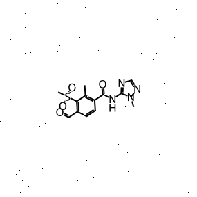 Cc1c(C(=O)Nc2ncnn2C)ccc(C=O)c1S(C)(=O)=O